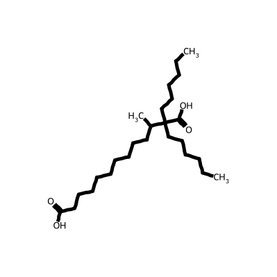 CCCCCCC(CCCCCC)(C(=O)O)C(C)CCCCCCCCCC(=O)O